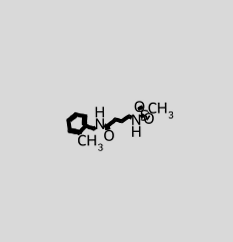 Cc1ccccc1CNC(=O)CCCNS(C)(=O)=O